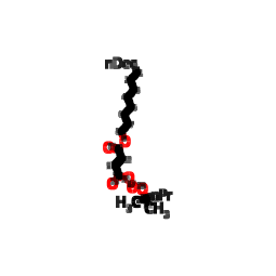 CCCCCCCCCCCCCCCCCCOC(=O)C=CC(=O)OOOC(C)(C)CCC